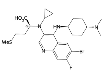 CSCC[C@@H](C(=O)O)N(c1cnc2cc(F)c(Br)cc2c1N[C@H]1CC[C@H](N(C)C)CC1)C1CC1